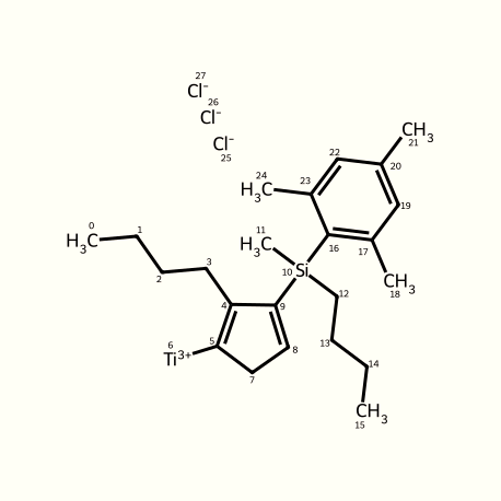 CCCCC1=[C]([Ti+3])CC=C1[Si](C)(CCCC)c1c(C)cc(C)cc1C.[Cl-].[Cl-].[Cl-]